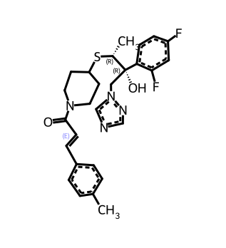 Cc1ccc(/C=C/C(=O)N2CCC(S[C@H](C)[C@](O)(Cn3cncn3)c3ccc(F)cc3F)CC2)cc1